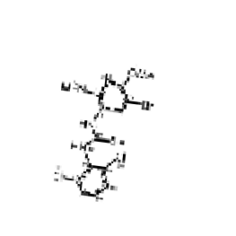 CNc1nc(OC)c(Br)cc1NC(=S)Nc1c(Cl)cccc1Cl